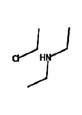 CCCl.CCNCC